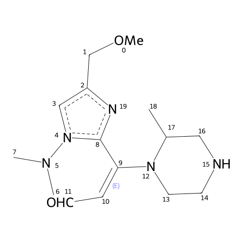 COCc1cn(N(C)C)c(/C(=C\C=O)N2CCNCC2C)n1